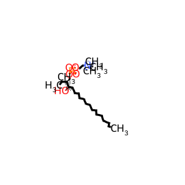 CCCCCCCCCCCCCCC[C@@H](O)[C@H](COP(=O)([O-])OCC[N+](C)(C)C)C(C)C